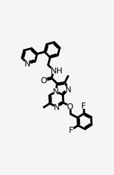 Cc1cn2c(C(=O)NCc3ccccc3-c3cccnc3)c(C)nc2c(OCc2c(F)cccc2F)n1